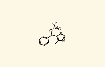 Cc1ncsc1C(O[N+](=O)[O-])c1ccccc1